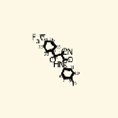 N#CC(C(=O)Nc1ccc(I)cc1)C(=O)c1ccc(C(F)(F)F)cc1